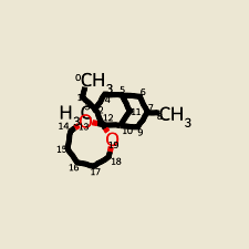 CCC1(C)CC2CC(C)CC(C2)C12OCCCCCO2